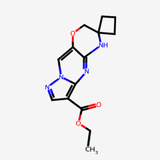 CCOC(=O)c1cnn2cc3c(nc12)NC1(CCC1)CO3